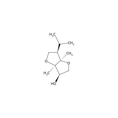 CC(C)[C@@H]1CO[C@]2(C)[C@H](O)CO[C@]12C